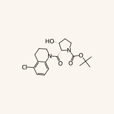 CC(C)(C)OC(=O)N1CC[C@@H](O)[C@H]1C(=O)N1CCCc2c(Cl)cccc21